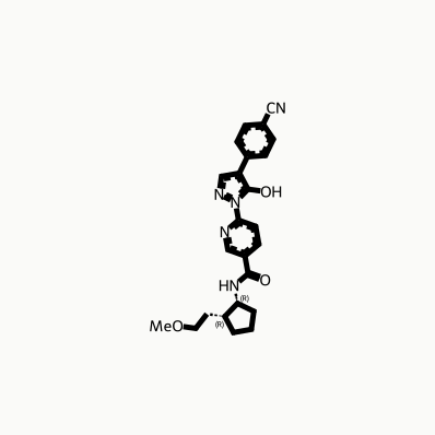 COCC[C@H]1CCC[C@H]1NC(=O)c1ccc(-n2ncc(-c3ccc(C#N)cc3)c2O)nc1